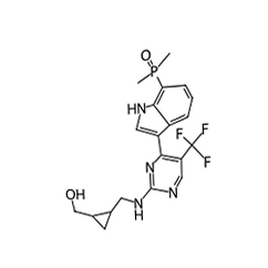 CP(C)(=O)c1cccc2c(-c3nc(NCC4CC4CO)ncc3C(F)(F)F)c[nH]c12